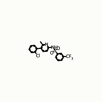 Cc1nc(NS(=O)(=O)c2cccc(C(F)(F)F)c2)ccc1-c1ccccc1Cl